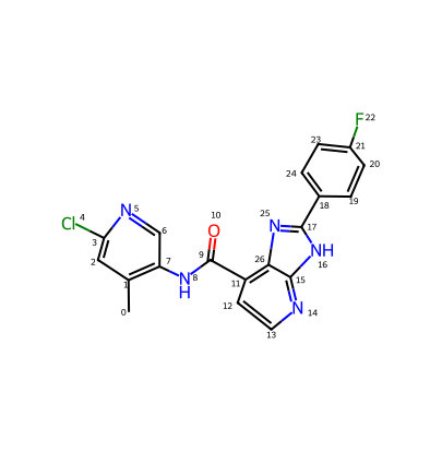 Cc1cc(Cl)ncc1NC(=O)c1ccnc2[nH]c(-c3ccc(F)cc3)nc12